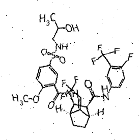 COc1ccc(S(=O)(=O)NCC(C)O)cc1C(=O)N[C@H]1[C@@H](C(=O)Nc2ccc(F)c(C(F)(F)F)c2)[C@H]2CC[C@@H]1/C2=C\C(F)(F)F